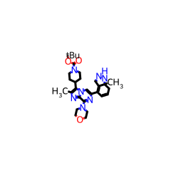 Cc1nc2c(N3CCOCC3)nc(C3=C4C=NNC4(C)CC=C3)cn2c1C1CCN(C(=O)OC(C)(C)C)CC1